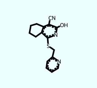 N#Cc1c(O)nc(SCc2ccccn2)c2c1CCCC2